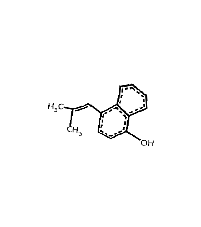 CC(C)=Cc1ccc(O)c2ccccc12